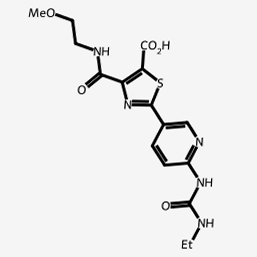 CCNC(=O)Nc1ccc(-c2nc(C(=O)NCCOC)c(C(=O)O)s2)cn1